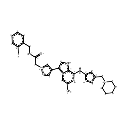 Cc1cn2c(-c3cnn(CC(=O)NCc4ccccc4F)c3)cnc2c(Nc2cc(CN3CCCCC3)ns2)n1